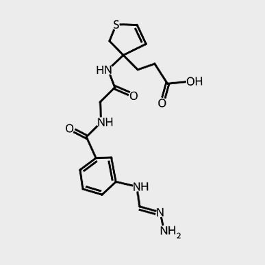 NN=CNc1cccc(C(=O)NCC(=O)NC2(CCC(=O)O)C=CSC2)c1